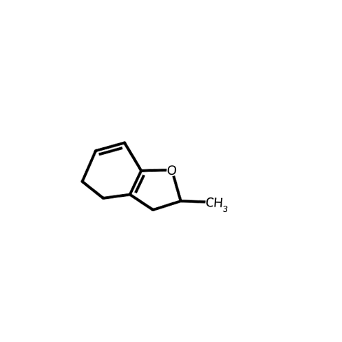 CC1CC2=C(C=CCC2)O1